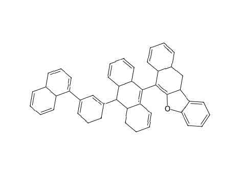 C1=CC2C=CC=C(C3=CCCC(C4C5CCC=CC5=C(C5=C6Oc7ccccc7C6CC6C=CC=CC56)C5C=CC=CC54)=C3)C2C=C1